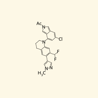 CC(=O)n1cc2cc(Cl)cc(N3CCCc4cc(-c5cnn(C)c5)c(C(F)F)cc43)c2c1